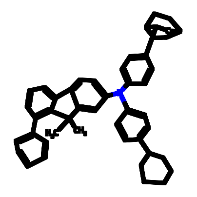 CC1(C)c2cc(N(c3ccc(C4CCCCC4)cc3)c3ccc(C4CC5CCC4CC5)cc3)ccc2-c2cccc(-c3ccccc3)c21